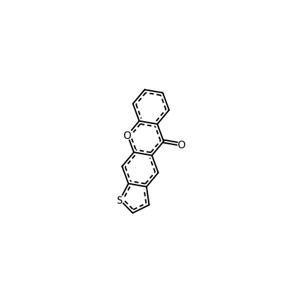 O=c1c2ccccc2oc2cc3sccc3cc12